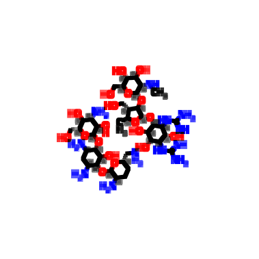 CN[C@@H]1[C@H](O[C@H]2[C@H](O[C@H]3[C@H](O)[C@@H](O)[C@H](NC(=N)N)[C@@H](O)[C@@H]3NC(=N)N)O[C@@H](C)[C@@H]2CO)O[C@@H](CO)[C@H](O)[C@H]1O.NC[C@@H]1CC[C@@H](N)[C@@H](O[C@H]2[C@H](O)[C@@H](O[C@H]3O[C@H](CO)[C@@H](O)[C@H](N)[C@H]3O)[C@H](N)C[C@@H]2N)O1